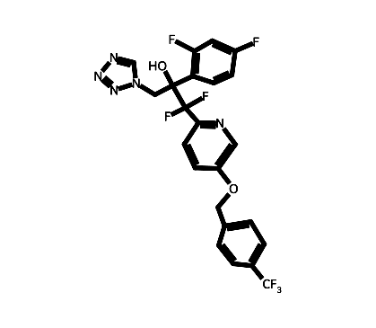 OC(Cn1cnnn1)(c1ccc(F)cc1F)C(F)(F)c1ccc(OCc2ccc(C(F)(F)F)cc2)cn1